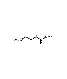 CNNCCCOC